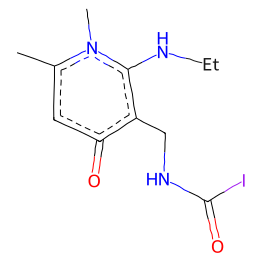 CCNc1c(CNC(=O)I)c(=O)cc(C)n1C